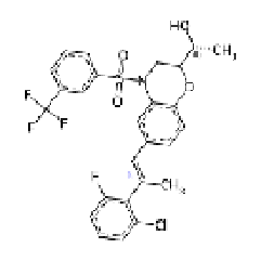 C/C(=C\c1ccc2c(c1)N(S(=O)(=O)c1cccc(C(F)(F)F)c1)CC([C@@H](C)O)O2)c1c(F)cccc1Cl